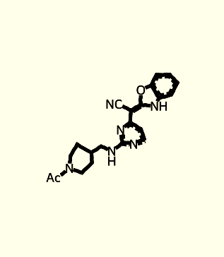 CC(=O)N1CCC(CNc2nccc(/C(C#N)=C3\Nc4ccccc4O3)n2)CC1